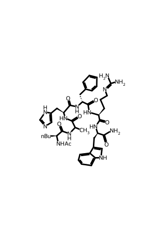 CCCC[C@H](NC(C)=O)C(=O)NC(C)C(=O)N[C@@H](Cc1cnc[nH]1)C(=O)N[C@H](Cc1ccccc1)C(=O)N[C@@H](CCCN=C(N)N)C(=O)N[C@H](Cc1c[nH]c2ccccc12)C(N)=O